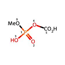 COP(=O)(O)OC(=O)O